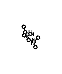 c1ccc(-c2cc3c4c(cccc4c2)N(c2cccc(-c4nc(-c5ccccc5)cc(-c5ccccc5)n4)c2)c2cncnc2-3)cc1